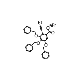 CCC#Cc1c(C(=O)OCCC)cc(OCc2ccccc2)c(OCc2ccccc2)c1OCc1ccccc1